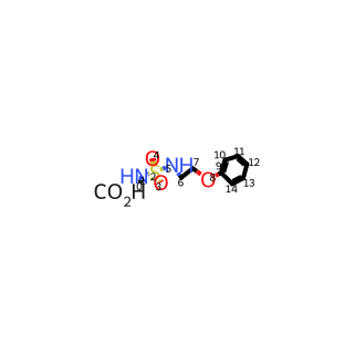 O=C(O)NS(=O)(=O)NCCOc1ccccc1